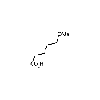 CO[CH]CCCC(=O)O